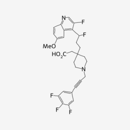 COc1ccc2ncc(F)c(C(F)CCC3(CC(=O)O)CCN(CC#Cc4cc(F)c(F)c(F)c4)CC3)c2c1